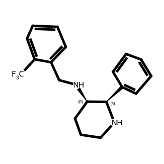 FC(F)(F)c1ccccc1CN[C@@H]1CCCN[C@@H]1c1ccccc1